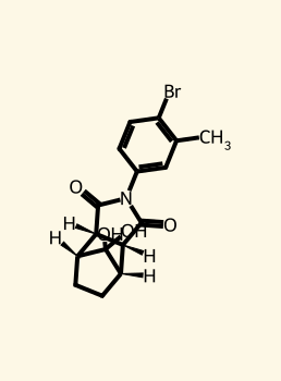 Cc1cc(N2C(=O)[C@@H]3[C@H](C2=O)[C@@H]2CC[C@H]3C2(O)O)ccc1Br